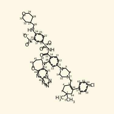 CC1(C)CCC(CN2CCN(c3ccc(C(=O)NS(=O)(=O)c4ccc(NCC5CCOCC5)c([N+](=O)[O-])c4)c(N4CCCOc5nc6nnnn6cc54)c3)CC2)=C(c2ccc(Cl)cc2)C1